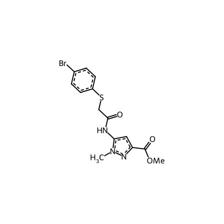 COC(=O)c1cc(NC(=O)CSc2ccc(Br)cc2)n(C)n1